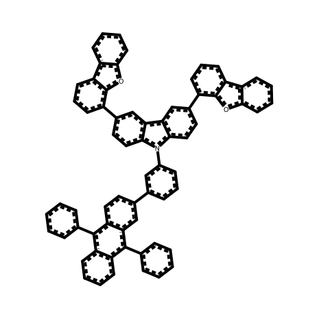 c1ccc(-c2c3ccccc3c(-c3ccccc3)c3cc(-c4cccc(-n5c6ccc(-c7cccc8c7oc7ccccc78)cc6c6cc(-c7cccc8c7oc7ccccc78)ccc65)c4)ccc23)cc1